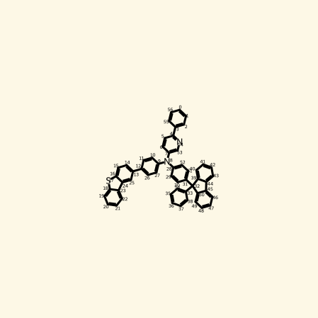 c1ccc(-c2ccc(N(c3ccc(-c4ccc5sc6ccccc6c5c4)cc3)c3ccc(C4(c5ccccc5)c5ccccc5-c5ccccc54)cc3)cn2)cc1